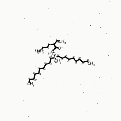 CCCCC(CC)C(=O)[O-].CCCCCCCCCC[N+](C)(C)CCCCCCCCCC.N